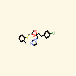 Cc1ccccc1SC[C@@H]1CO[C@](CCc2ccc(Cl)cc2)(Cn2ccnc2)O1